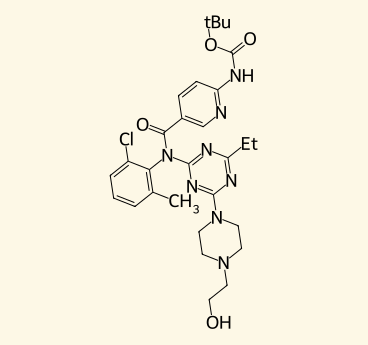 CCc1nc(N2CCN(CCO)CC2)nc(N(C(=O)c2ccc(NC(=O)OC(C)(C)C)nc2)c2c(C)cccc2Cl)n1